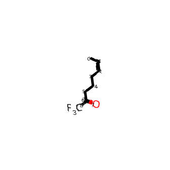 C/C=C\CCCC(=O)C(F)(F)F